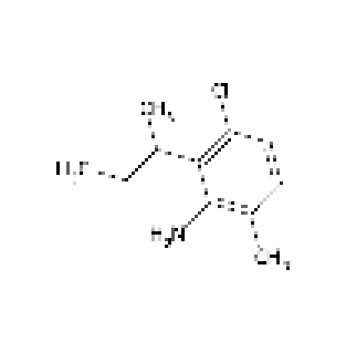 CCC(C)c1c(Cl)ccc(C)c1N